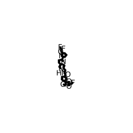 O=C(NCc1cc2nc(-c3cccc(OC(F)F)n3)ccc2cn1)c1ccc2occ(S(=O)(=O)CF)c2c1